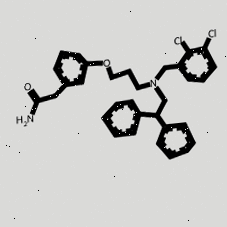 NC(=O)Cc1cccc(OCCCN(Cc2cccc(Cl)c2Cl)CC(c2ccccc2)c2ccccc2)c1